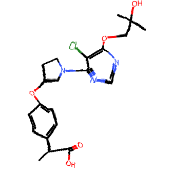 CC(C(=O)O)c1ccc(OC2CCN(c3ncnc(OCC(C)(C)O)c3Cl)C2)cc1